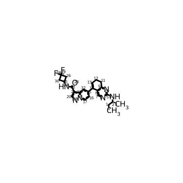 CC[C@H](C)Nc1ncc2c(n1)CCC=C2c1ccn2ncc(C(=O)NC3CC(F)(F)C3)c2c1